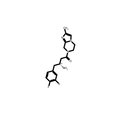 Cc1cn2c(n1)CN(C(=O)C[C@H](N)Cc1ccc(F)c(F)c1)CC2